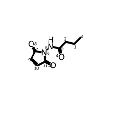 CCCC(=O)NN1C(=O)C=CC1=O